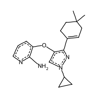 CC1(C)CC=C(c2nn(C3CC3)cc2Oc2cccnc2N)CC1